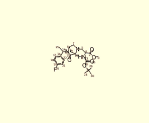 COC(=O)C(CN1CC2CC1C(=O)N2C(C)c1ccc(F)cc1)NC(=O)OC(C)(C)C